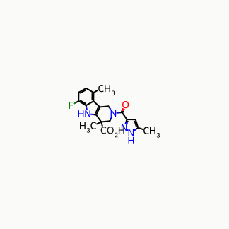 Cc1cc(C(=O)N2Cc3c([nH]c4c(F)ccc(C)c34)C(C)(C(=O)O)C2)n[nH]1